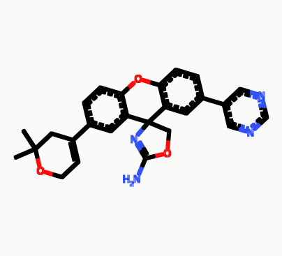 CC1(C)CC(c2ccc3c(c2)C2(COC(N)=N2)c2cc(-c4cncnc4)ccc2O3)=CCO1